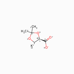 CC1(C)OC[C@H](C(=O)[O-])O1.[K+]